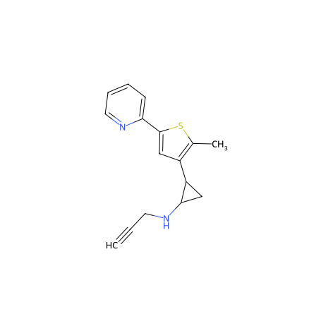 C#CCNC1CC1c1cc(-c2ccccn2)sc1C